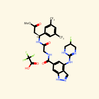 COC(=O)C[C@H](NC(=O)CNC(=O)c1cc(NC2=NCC(F)CN2)c2cn[nH]c2c1)c1cc(C(F)(F)F)cc(C(F)(F)F)c1.O=C(O)C(F)(F)F